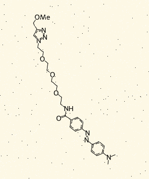 COCc1cn(CCOCCOCCOCCNC(=O)c2ccc(/N=N/c3ccc(N(C)C)cc3)cc2)nn1